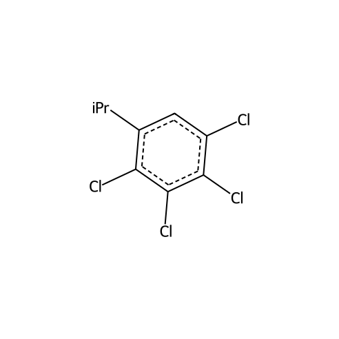 CC(C)c1cc(Cl)c(Cl)c(Cl)c1Cl